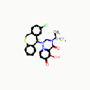 C[C@@H](N1CN([C@@H]2c3cc(Cl)ccc3CSc3ccccc32)n2ccc(=O)c(O)c2C1=O)C(F)(F)F